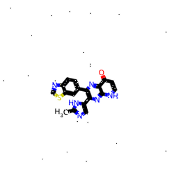 Cc1ncc(-c2nc3[nH]ccc(=O)c3nc2-c2ccc3ncsc3c2)[nH]1